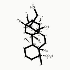 C[C@@]12CCC[C@@](C)(C(=O)O)[C@H]1CC[C@@]13CC[C@@H](C[C@@H]21)[C@H](CO)[C@H]3O